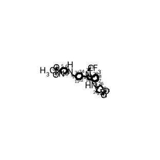 CS(=O)(=O)c1ccc(NCc2ccc(-c3cc4c(NC5CCS(=O)(=O)CC5)cccc4n3CC(F)(F)F)cc2)cn1